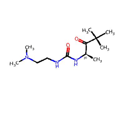 C[C@@H](NC(=O)NCCN(C)C)C(=O)C(C)(C)C